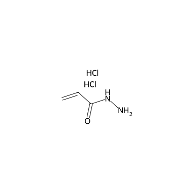 C=CC(=O)NN.Cl.Cl